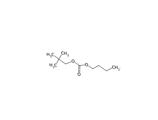 [CH2]CCCOC(=O)OCC(C)(C)C